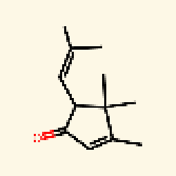 CC(C)=CC1C(=O)C=C(C)C1(C)C